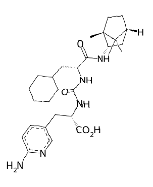 CC1(C)[C@@H]2CC[C@@]1(C)[C@@H](NC(=O)[C@@H](CC1CCCCC1)NC(=O)N[C@@H](Cc1ccc(N)nc1)C(=O)O)C2